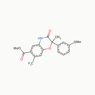 COC(=O)c1cc2c(cc1C(F)(F)F)OC(C)(c1cccc(OC)c1)C(=O)N2